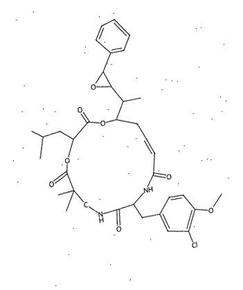 COc1ccc(CC2NC(=O)C=CCC(C(C)C3OC3c3ccccc3)OC(=O)C(CC(C)C)OC(=O)C(C)(C)CNC2=O)cc1Cl